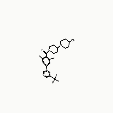 Cc1cc(-c2cncc(C(F)(F)F)c2)cc(C)c1C(=O)N1CCC(N2CCC(O)CC2)CC1